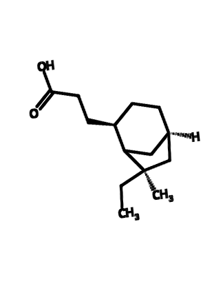 CC[C@]1(C)C[C@@H]2CC[C@H](CCC(=O)O)C1C2